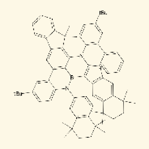 CC(C)(C)c1ccc2c(c1)-c1cc3c(c4c1B(c1c(sc5cc6c(cc15)C(C)(C)CCC6(C)C)N4c1ccc(C(C)(C)C)cc1-c1ccccc1)N2c1ccc2c(c1)C(C)(C)CCC2(C)C)C(C)(C)c1ccccc1-3